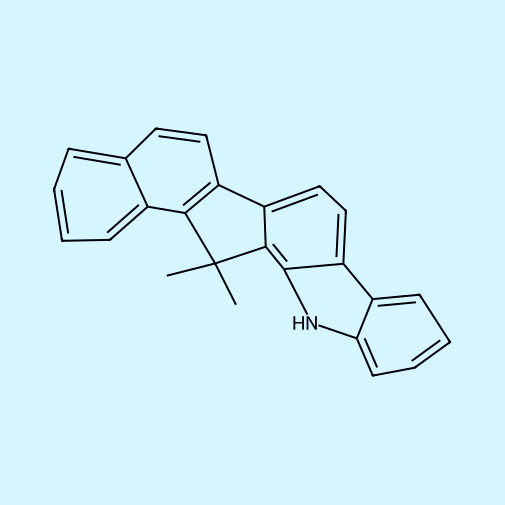 CC1(C)c2c(ccc3ccccc23)-c2ccc3c([nH]c4ccccc43)c21